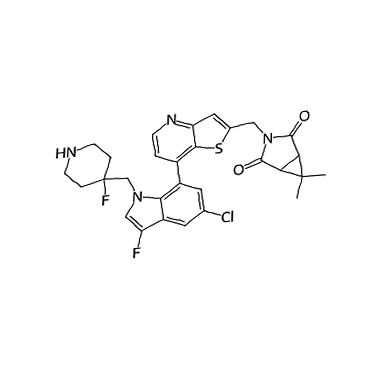 CC1(C)C2C(=O)N(Cc3cc4nccc(-c5cc(Cl)cc6c(F)cn(CC7(F)CCNCC7)c56)c4s3)C(=O)C21